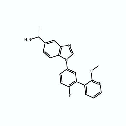 COc1ncccc1-c1cc(-n2cnc3cc([C@@H](C)N)ccc32)ccc1F